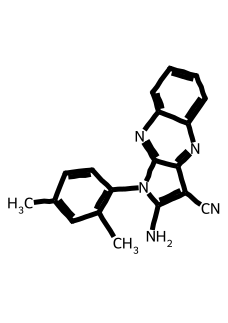 Cc1ccc(-n2c(N)c(C#N)c3nc4ccccc4nc32)c(C)c1